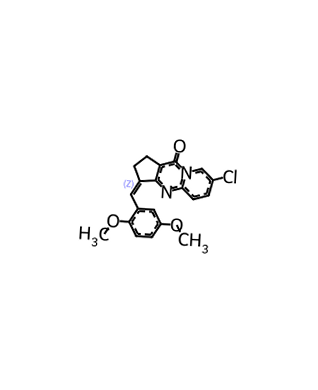 COc1ccc(OC)c(/C=C2/CCc3c2nc2ccc(Cl)cn2c3=O)c1